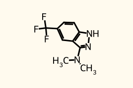 CN(C)c1n[nH]c2ccc(C(F)(F)F)cc12